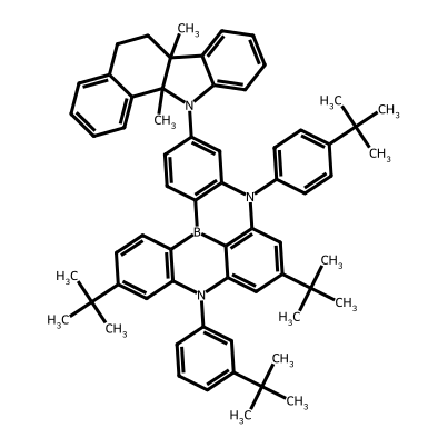 CC(C)(C)c1ccc(N2c3cc(N4c5ccccc5C5(C)CCc6ccccc6C45C)ccc3B3c4ccc(C(C)(C)C)cc4N(c4cccc(C(C)(C)C)c4)c4cc(C(C)(C)C)cc2c43)cc1